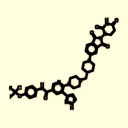 O=C1CCN(N2C(=O)c3ccc(N4CCC(CN5CCN(c6ncc(C(=O)Nc7ccc(OC(F)(F)Cl)cc7)cc6-c6cc[nH]n6)CC5)CC4)cc3C2=O)C(=O)N1